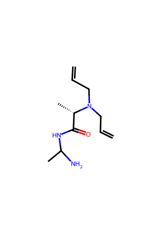 C=CCN(CC=C)[C@@H](C)C(=O)NC(C)N